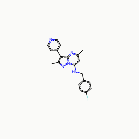 Cc1cc(NCc2ccc(F)cc2)n2nc(C)c(-c3ccncc3)c2n1